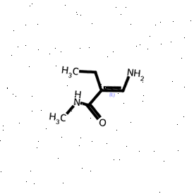 CC/C(=C\N)C(=O)NC